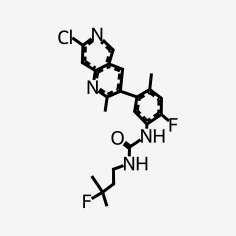 Cc1cc(F)c(NC(=O)NCCC(C)(C)F)cc1-c1cc2cnc(Cl)cc2nc1C